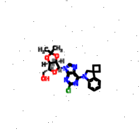 CC1(C)O[C@@H]2[C@H](O1)[C@@H](CO)O[C@H]2n1cnc2c(N3CC4(CCC4)c4ccccc43)nc(Cl)nc21